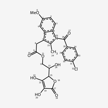 COc1ccc2c(c1)c(CC(=O)OCC(O)C1OC(=O)C(O)=C1O)c(C)n2C(=O)c1ccc(Cl)cc1